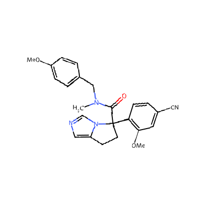 COc1ccc(CN(C)C(=O)C2(c3ccc(C#N)cc3OC)CCc3cncn32)cc1